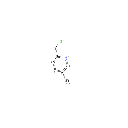 O=[N+]([O-])c1ccc(CCl)nc1